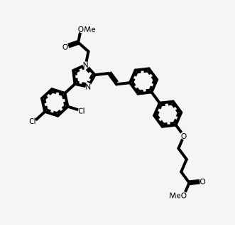 COC(=O)CCCOc1ccc(-c2cccc(/C=C/c3nc(-c4ccc(Cl)cc4Cl)cn3CC(=O)OC)c2)cc1